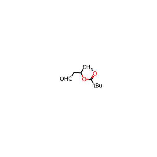 CC(CC=O)OC(=O)C(C)(C)C